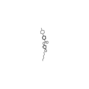 CCCCCCOc1ccc(OC(=O)c2ccc(C3CCC(C)CC3)cc2)cc1